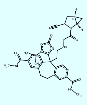 C=C(NC)c1ccc2c(c1)CCc1cc(C(=O)NC)ccc1C2(CCNCC(=O)N1C(C#N)C[C@@H]2C[C@@H]21)c1nc(=O)on1C(C)C